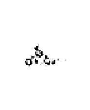 CC(C)c1cnc2c(N(C(=O)OC(C)(C)C)C(C)c3ccccc3)cc(SC3CCCN(C(=O)OC(C)(C)C)C3)nn12